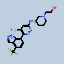 Cc1cc(N[C@@H]2CCCN(CCO)C2)nnc1-c1ccc(C(F)(F)F)c2cn[nH]c12